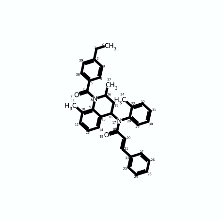 CCc1ccc(C(=O)N2c3c(C)cccc3C(N(C(=O)C=Cc3ccccc3)c3ccccc3C)CC2C)cc1